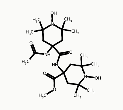 COC(=O)C1(NC(=O)C2(NC(C)=O)CC(C)(C)N(O)C(C)(C)C2)CC(C)(C)N(O)C(C)(C)C1